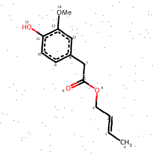 C/C=C/COC(=O)Cc1ccc(O)c(OC)c1